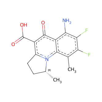 Cc1c(F)c(F)c(N)c2c(=O)c(C(=O)O)c3n(c12)[C@H](C)CC3